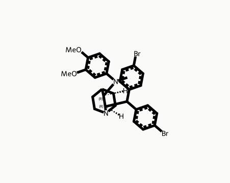 COc1ccc(N(C)[C@@H]2C3CCN(CC3)[C@@H]2C(c2ccc(Br)cc2)c2ccc(Br)cc2)cc1OC